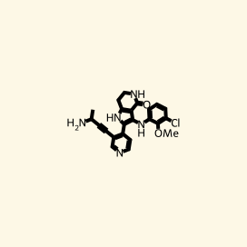 COc1c(Cl)cccc1Nc1c(-c2ccncc2C#CC(C)N)[nH]c2c1C(=O)NCC2